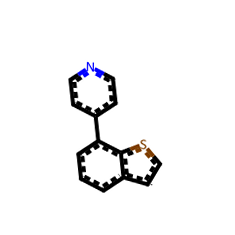 [c]1csc2c(-c3ccncc3)cccc12